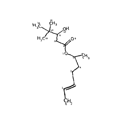 CC=CCCC(C)OC(=O)CC(O)C(C)(C)C